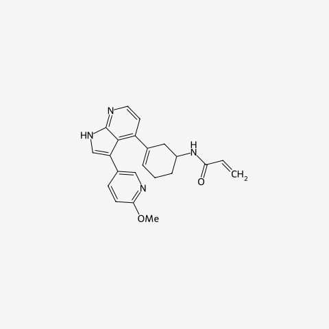 C=CC(=O)NC1CCC=C(c2ccnc3[nH]cc(-c4ccc(OC)nc4)c23)C1